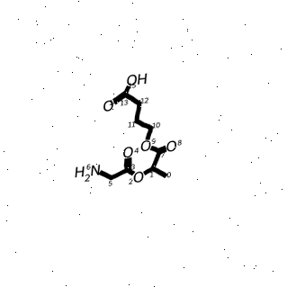 CC(OC(=O)CN)C(=O)OCCCC(=O)O